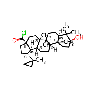 CC1([C@@H]2CC[C@]3(C(=O)Cl)CC[C@]4(C)[C@H](CC[C@@H]5[C@@]6(C)CC[C@H](O)C(C)(C)[C@@H]6CC[C@]54C)[C@@H]23)CC1